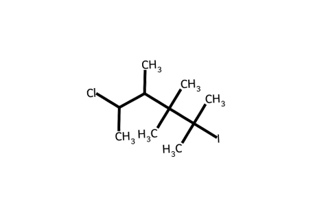 CC(Cl)C(C)C(C)(C)C(C)(C)I